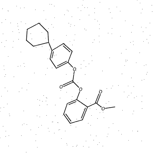 COC(=O)c1ccccc1OC(=O)Oc1ccc(C2CCCCC2)cc1